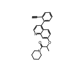 C#Cc1ccccc1-c1ccnc2cc(OC(C)C(=O)N3CCCCC3)ccc12